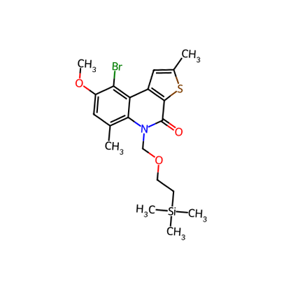 COc1cc(C)c2c(c1Br)c1cc(C)sc1c(=O)n2COCC[Si](C)(C)C